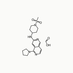 CS(=O)(=O)N1CCC(Nc2cc3c(N4CCCC4)nccc3cn2)CC1.O=CO